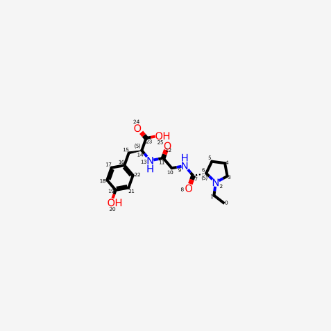 CCN1CCC[C@H]1C(=O)NCC(=O)N[C@@H](Cc1ccc(O)cc1)C(=O)O